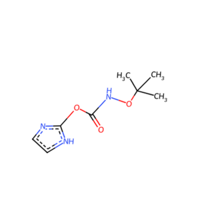 CC(C)(C)ONC(=O)Oc1ncc[nH]1